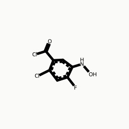 O=C(Cl)c1cc(NO)c(F)cc1Cl